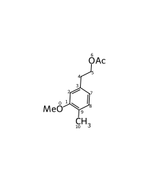 COc1cc(CCOC(C)=O)ccc1C